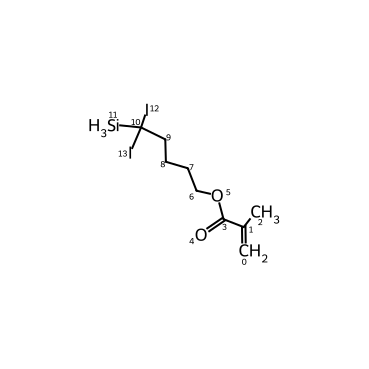 C=C(C)C(=O)OCCCCC([SiH3])(I)I